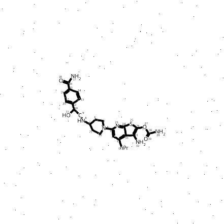 CCCc1cc(N2CCC(NCC(O)c3ccc(C(N)=O)cc3)CC2)nc2sc(OC(N)=O)c(N)c12